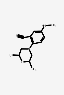 CNc1ccc(N2CC(C)OC(C)C2)c(C#N)c1